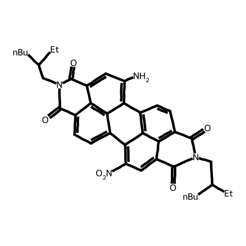 CCCCC(CC)CN1C(=O)c2ccc3c4c([N+](=O)[O-])cc5c6c(ccc(c7c(N)cc(c2c37)C1=O)c64)C(=O)N(CC(CC)CCCC)C5=O